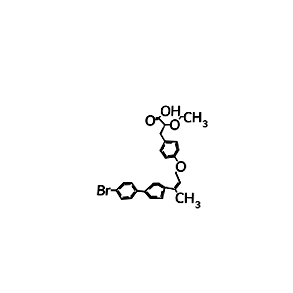 CCO[C@@H](Cc1ccc(OC/C=C(/C)c2ccc(-c3ccc(Br)cc3)cc2)cc1)C(=O)O